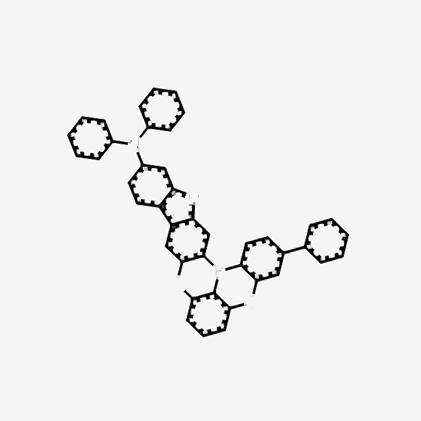 c1ccc(-c2ccc3c(c2)Oc2cccc4c2B3c2cc3oc5cc(N(c6ccccc6)c6ccccc6)ccc5c3cc2O4)cc1